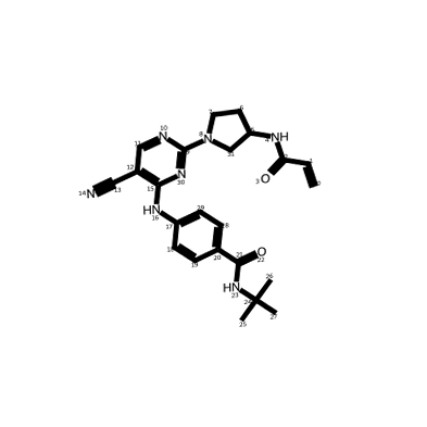 C=CC(=O)NC1CCN(c2ncc(C#N)c(Nc3ccc(C(=O)NC(C)(C)C)cc3)n2)C1